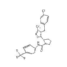 Cc1noc(C2CCCN2C(=O)Nc2ccc(C(F)(F)F)cc2)c1Cc1ccc(Cl)cc1